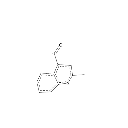 Cc1cc([C]=O)c2ccccc2n1